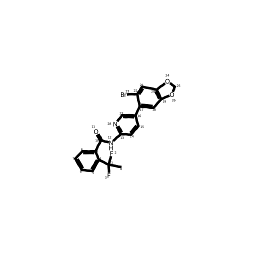 CC(F)(F)c1ccccc1C(=O)Nc1ccc(-c2cc3c(cc2Br)OCO3)cn1